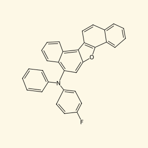 Fc1ccc(N(c2ccccc2)c2cc3oc4c5ccccc5ccc4c3c3ccccc23)cc1